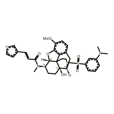 COc1ccc2c3c1O[C@H]1[C@H](N(C)C(=O)/C=C/c4ccoc4)CC[C@@]4(O)[C@@H](C2)N(S(=O)(=O)c2cccc(N(C)C)c2)CCC314